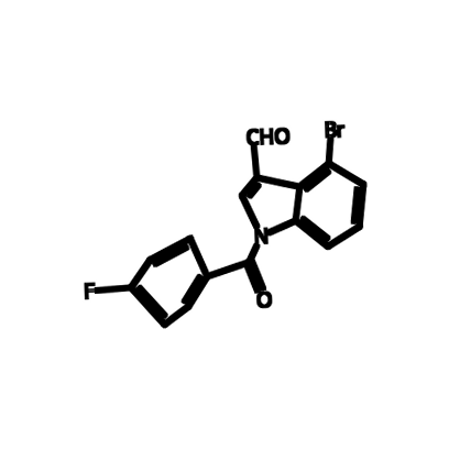 O=Cc1cn(C(=O)c2ccc(F)cc2)c2cccc(Br)c12